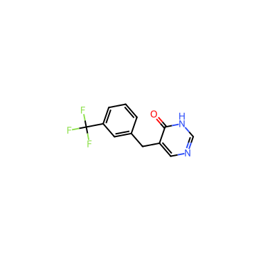 O=c1[nH]cncc1Cc1cccc(C(F)(F)F)c1